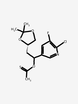 CC(=S)OC(C[C@H]1COC(C)(C)O1)c1cnc(Cl)c(F)c1